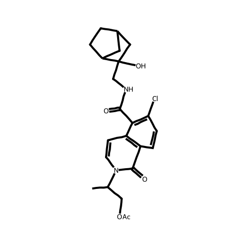 CC(=O)OCC(C)n1ccc2c(C(=O)NCC3(O)CC4CCC3C4)c(Cl)ccc2c1=O